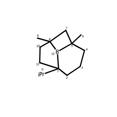 CC(C)C12CCCC3(C)CC(C)(CC1)B32